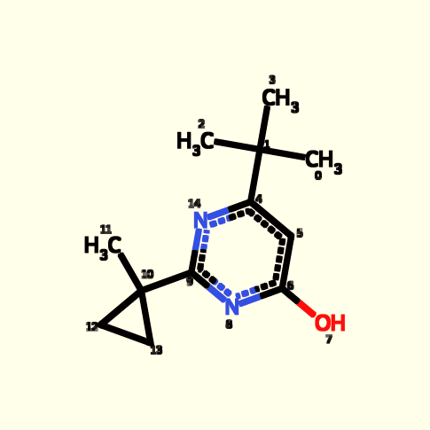 CC(C)(C)c1cc(O)nc(C2(C)CC2)n1